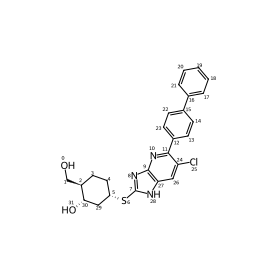 OC[C@H]1CC[C@H](Sc2nc3nc(-c4ccc(-c5ccccc5)cc4)c(Cl)cc3[nH]2)C[C@@H]1O